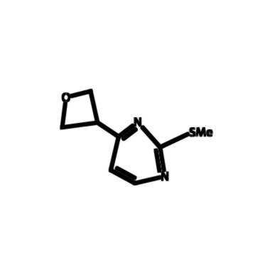 CSc1nccc(C2COC2)n1